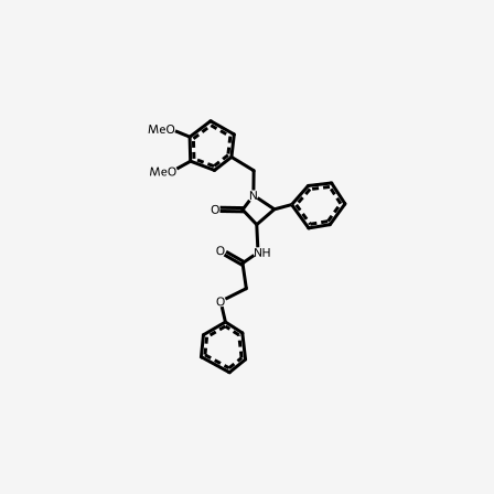 COc1ccc(CN2C(=O)C(NC(=O)COc3ccccc3)C2c2ccccc2)cc1OC